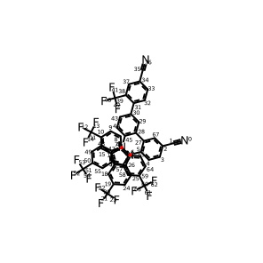 N#Cc1ccc(-n2c3ccc(C(F)(F)F)cc3c3cc(C(F)(F)F)ccc32)c(-c2cc(-c3ccc(C#N)cc3C(F)(F)F)ccc2-n2c3ccc(C(F)(F)F)cc3c3cc(C(F)(F)F)ccc32)c1